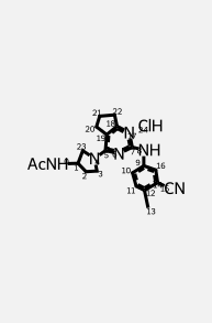 CC(=O)NC1CCN(c2nc(Nc3ccc(C)c(C#N)c3)nc3c2CCC3)C1.Cl